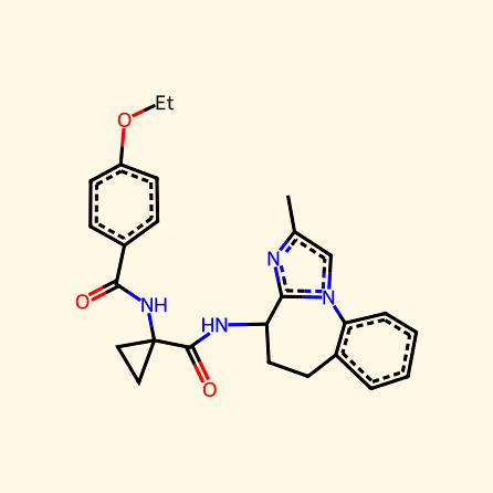 CCOc1ccc(C(=O)NC2(C(=O)NC3CCc4ccccc4-n4cc(C)nc43)CC2)cc1